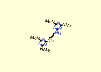 CNc1nc(NC)nc(NCCCNc2nc(NC)nc(NC)n2)n1